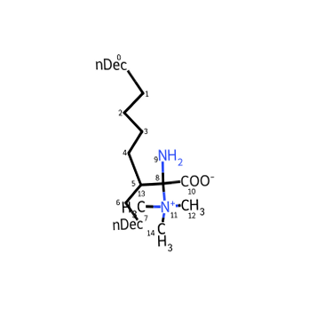 CCCCCCCCCCCCCCC(CCCCCCCCCCC)C(N)(C(=O)[O-])[N+](C)(C)C